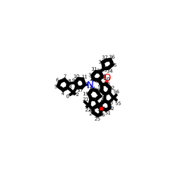 CC1(C)c2ccccc2-c2ccc(N(c3ccc4c(c3)C(C)(C)c3ccccc3-4)c3ccc(-c4ccccc4)c4oc5cc6c(cc5c34)-c3ccccc3C6(C)C)cc21